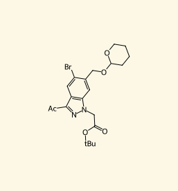 CC(=O)c1nn(CC(=O)OC(C)(C)C)c2cc(COC3CCCCO3)c(Br)cc12